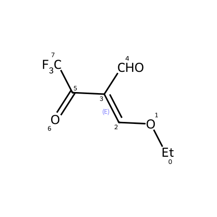 CCO/C=C(\C=O)C(=O)C(F)(F)F